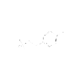 O=S(=O)(F)NCc1ccc(Cl)cc1